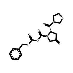 O=C1C[C@@H](C(=O)N2CCSC2)N(C(=O)OC(=O)OCc2ccccc2)C1